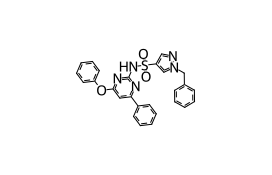 O=S(=O)(Nc1nc(Oc2ccccc2)cc(-c2ccccc2)n1)c1cnn(Cc2ccccc2)c1